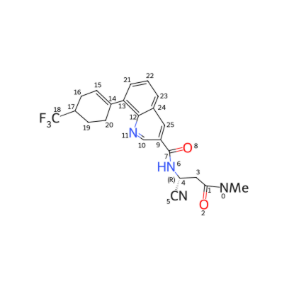 CNC(=O)C[C@H](C#N)NC(=O)c1cnc2c(C3=CCC(C(F)(F)F)CC3)cccc2c1